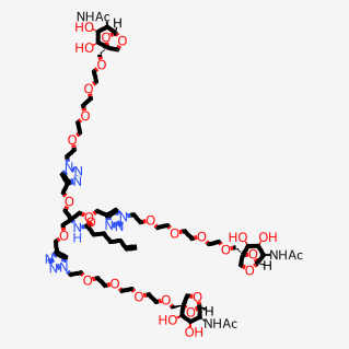 C=CCCCCC(=O)NC(COCc1cn(CCOCCOCCOCCOC[C@@]23CO[C@@H](O2)[C@H](NC(C)=O)[C@@H](O)[C@H]3O)nn1)(COCc1cn(CCOCCOCCOCCOC[C@@]23CO[C@@H](O2)[C@H](NC(C)=O)[C@@H](O)[C@H]3O)nn1)COCc1cn(CCOCCOCCOCCOC[C@@]23CO[C@@H](O2)[C@H](NC(C)=O)[C@@H](O)[C@H]3O)nn1